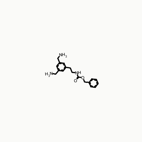 NCc1cc(CN)cc(CCNC(=O)OCc2ccccc2)c1